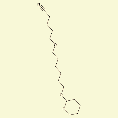 N#CCCCCOCCCCCCOC1CCCCO1